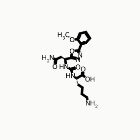 COc1ccccc1-c1nnc([C@H](CC(N)=O)NC(=O)N[C@@H](CCCCN)C(=O)O)o1